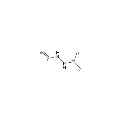 C=CBPC(C)C